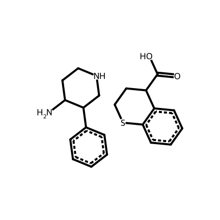 NC1CCNCC1c1ccccc1.O=C(O)C1CCSc2ccccc21